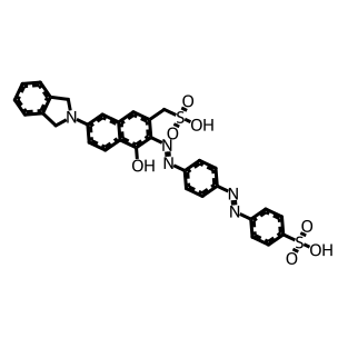 O=S(=O)(O)Cc1cc2cc(N3Cc4ccccc4C3)ccc2c(O)c1N=Nc1ccc(N=Nc2ccc(S(=O)(=O)O)cc2)cc1